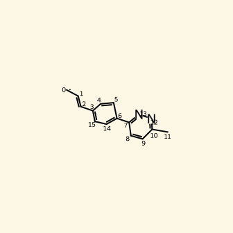 [CH2]/C=C/c1ccc(-c2ccc(C)nn2)cc1